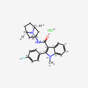 CN1[C@@H]2CC[C@H]1C[C@@H](NC(=O)c1c(-c3ccc(F)cc3)n(C)c3ccccc13)C2.Cl